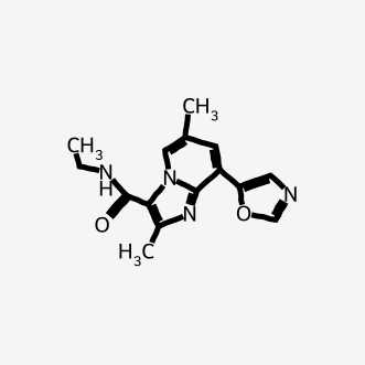 CCNC(=O)c1c(C)nc2c(-c3cnco3)cc(C)cn12